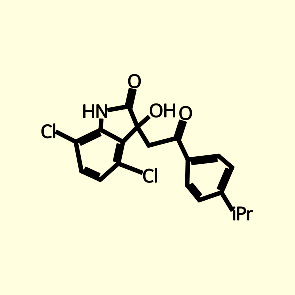 CC(C)c1ccc(C(=O)CC2(O)C(=O)Nc3c(Cl)ccc(Cl)c32)cc1